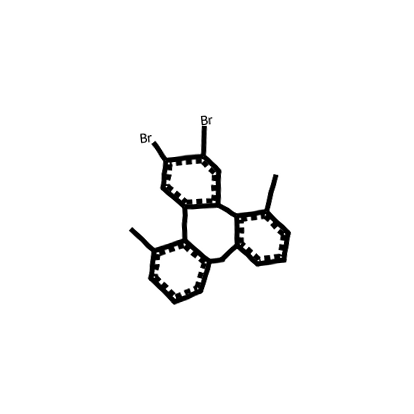 Cc1cccc(C)c1-c1cc(Br)c(Br)cc1-c1c(C)cccc1C